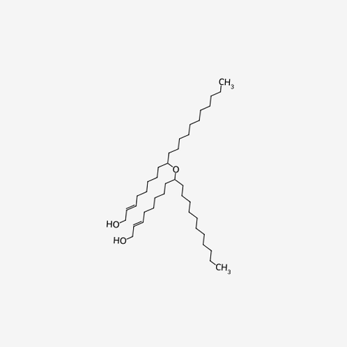 CCCCCCCCCCCC(CCCCCC=CCO)OC(CCCCCC=CCO)CCCCCCCCCCC